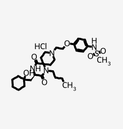 CCCCN1C(=O)[C@@H](CC2(O)CCCCC2)NC(=O)C12CCN(CCOc1ccc(NS(C)(=O)=O)cc1)CC2.Cl